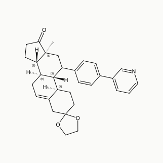 C[C@]12CC(c3ccc(-c4cccnc4)cc3)[C@H]3[C@@H](CC=C4CC5(CC[C@@H]43)OCCO5)[C@@H]1CCC2=O